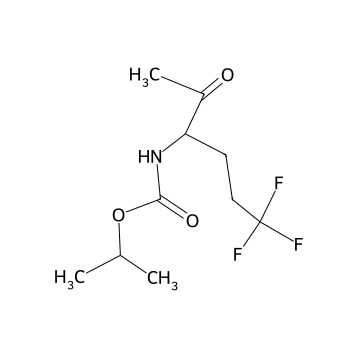 CC(=O)C(CCC(F)(F)F)NC(=O)OC(C)C